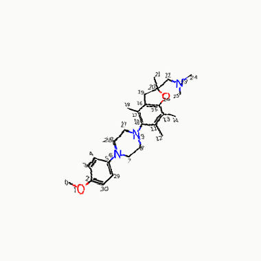 COc1ccc(N2CCN(c3c(C)c(C)c4c(c3C)CC(C)(CN(C)C)O4)CC2)cc1